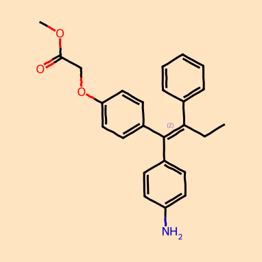 CC/C(=C(\c1ccc(N)cc1)c1ccc(OCC(=O)OC)cc1)c1ccccc1